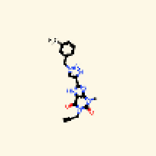 C#CCn1c(=O)c2[nH]c(-c3cn(Cc4cccc(C(F)(F)F)c4)nn3)nc2n(C)c1=O